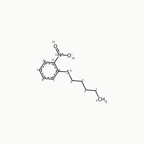 CCCCCSc1ccccc1[N+](=O)[O-]